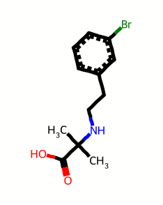 CC(C)(NCCc1cccc(Br)c1)C(=O)O